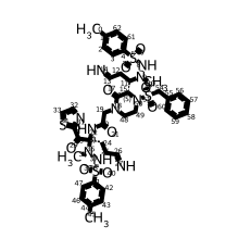 Cc1ccc(S(=O)(=O)NN(C)C(CC=N)[C@H]2C(=O)N(CC(=O)N[C@](CCC=N)(C(=O)c3nccs3)N(C)NS(=O)(=O)c3ccc(C)cc3)CCN2S(=O)(=O)Cc2ccccc2)cc1